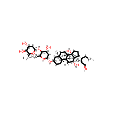 CCC(CCO)[C@H]1CC[C@]2(O)[C@@H]3CC[C@@H]4C[C@@H](O[C@H]5C[C@@H](O)C(O[C@H]6C[C@@H](O)C(O)C(C)O6)C(C)O5)CC[C@]4(C)[C@H]3C[C@@H](O)[C@]12C